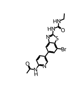 CCNC(=O)Nc1nc2cc(-c3ccc(NC(C)=O)nc3)cc(Br)c2s1